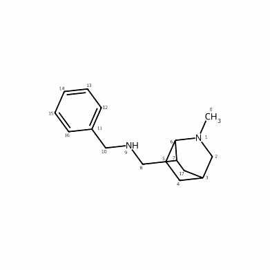 CN1CC2CCC1C(CNCc1ccccc1)C2